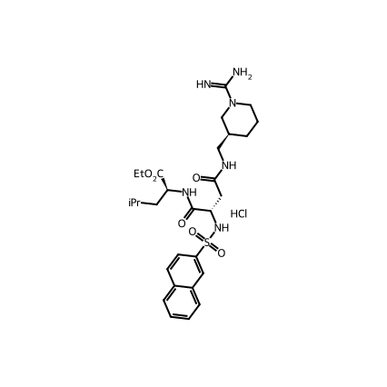 CCOC(=O)[C@H](CC(C)C)NC(=O)[C@H](CC(=O)NC[C@@H]1CCCN(C(=N)N)C1)NS(=O)(=O)c1ccc2ccccc2c1.Cl